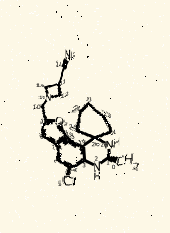 C=C1Nc2c(Cl)cc3cc(CN4CC(C#N)C4)oc3c2C2(CCCCC2)N1